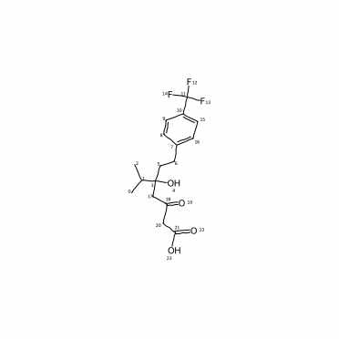 CC(C)C(O)(CCc1ccc(C(F)(F)F)cc1)CC(=O)CC(=O)O